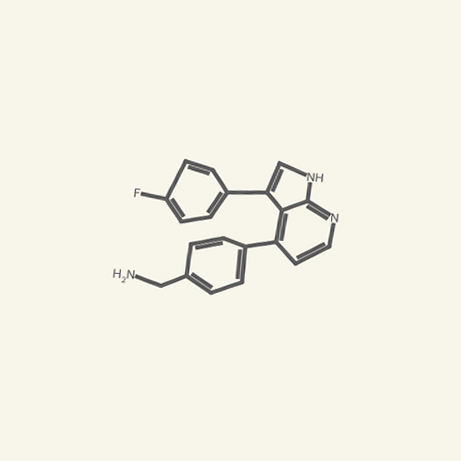 NCc1ccc(-c2ccnc3[nH]cc(-c4ccc(F)cc4)c23)cc1